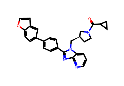 O=C(C1CC1)N1CC[C@@H](Cn2c(-c3ccc(-c4ccc5occc5c4)cc3)nc3ncccc32)C1